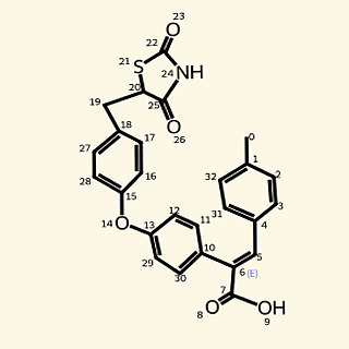 Cc1ccc(/C=C(/C(=O)O)c2ccc(Oc3ccc(CC4SC(=O)NC4=O)cc3)cc2)cc1